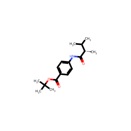 CC(C)[C@H](C)C(=O)Nc1ccc(C(=O)OC(C)(C)C)cc1